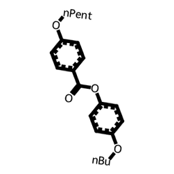 [CH2+][CH-]CCCOc1ccc(C(=O)Oc2ccc(OCCCC)cc2)cc1